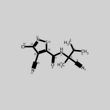 CC(C)C(C)(C#N)NC(=O)c1snc(Cl)c1C#N